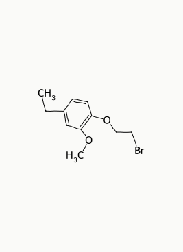 CCc1ccc(OCCBr)c(OC)c1